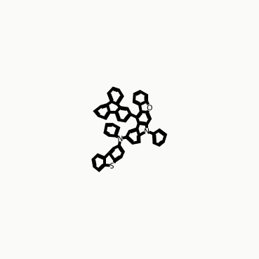 c1ccc(N(c2ccc3sc4ccccc4c3c2)c2ccc3c(c2)c2c(-c4ccc5c6ccccc6c6ccccc6c5c4)c4c(cc2n3-c2ccccc2)oc2ccccc24)cc1